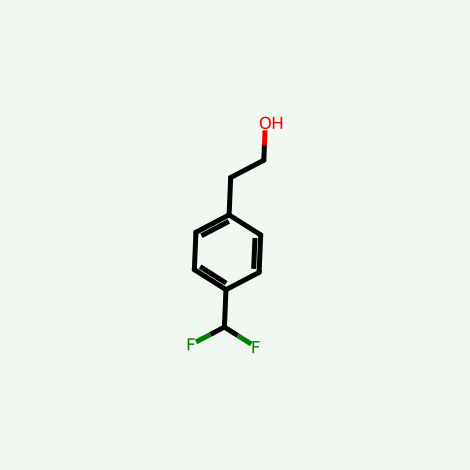 OCCc1ccc(C(F)F)cc1